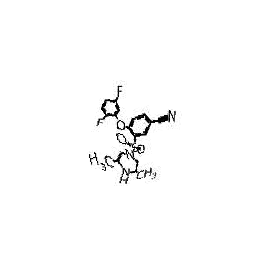 CC1CN(S(=O)(=O)c2cc(C#N)ccc2Oc2cc(F)ccc2F)CC(C)N1